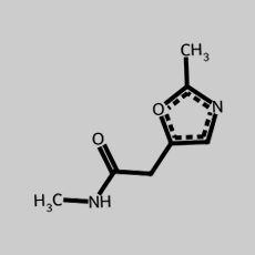 CNC(=O)Cc1cnc(C)o1